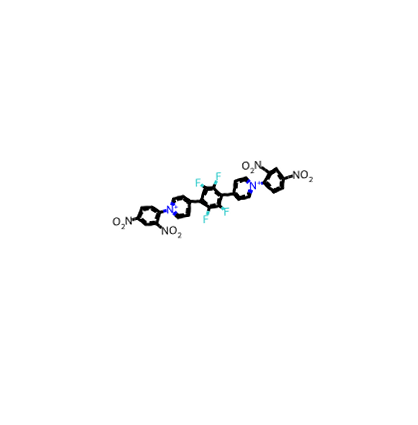 O=[N+]([O-])c1ccc(-[n+]2ccc(-c3c(F)c(F)c(-c4cc[n+](-c5ccc([N+](=O)[O-])cc5[N+](=O)[O-])cc4)c(F)c3F)cc2)c([N+](=O)[O-])c1